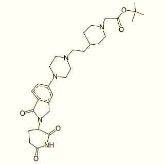 CC(C)(C)OC(=O)CN1CCC(CCN2CCN(c3ccc4c(c3)CN(C3CCC(=O)NC3=O)C4=O)CC2)CC1